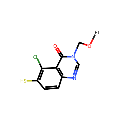 CCOCn1cnc2ccc(S)c(Cl)c2c1=O